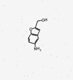 Nc1ccc2oc(CO)cc2c1